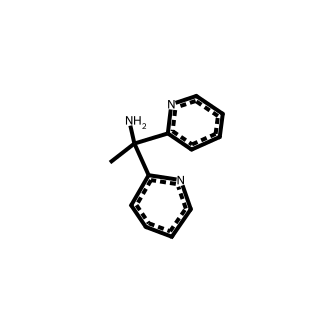 CC(N)(c1ccccn1)c1ccccn1